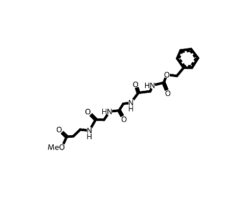 COC(=O)CCNC(=O)CNC(=O)CNC(=O)CNC(=O)OCc1ccccc1